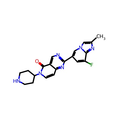 Cc1cn2cc(-c3ncc4c(=O)n(C5CCNCC5)ccc4n3)cc(F)c2n1